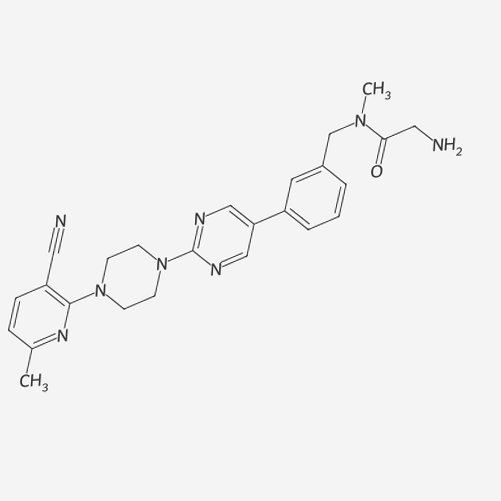 Cc1ccc(C#N)c(N2CCN(c3ncc(-c4cccc(CN(C)C(=O)CN)c4)cn3)CC2)n1